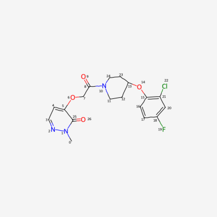 Cn1nccc(OCC(=O)N2CCC(Oc3ccc(F)cc3Cl)CC2)c1=O